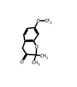 CC1(C)Oc2cc(OC(F)(F)F)ccc2CC1=O